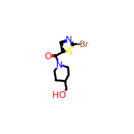 O=C(c1cnc(Br)s1)N1CCC(CO)CC1